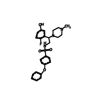 CN1CCN(C(CNS(=O)(=O)c2ccc(Oc3ccccc3)cc2)c2cc(O)ccc2F)CC1